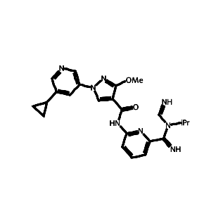 COc1nn(-c2cncc(C3CC3)c2)cc1C(=O)Nc1cccc(C(=N)N(C=N)C(C)C)n1